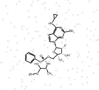 CC(C)OC(O)[C@H](C)N[P@](=O)(OC[C@@]1(C)O[C@@H](n2cnc3c(NC4CC4)nc(N)nc32)[C@H](F)[C@@H]1O)Oc1ccccc1